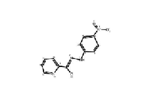 O=[N+]([O-])c1ccc(NN=C(Cl)c2ccccn2)cc1